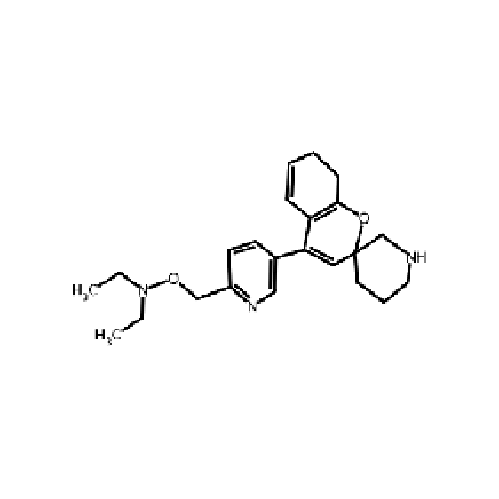 CCN(CC)OCc1ccc(C2=CC3(CCCNC3)OC3=C2C=CCC3)cn1